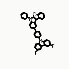 Fc1ccc2c(c1)c1cc(F)ccc1n2-c1ccc(-c2ccc3c(c2)c2c4ccccc4oc2n3-c2ccccc2)cc1